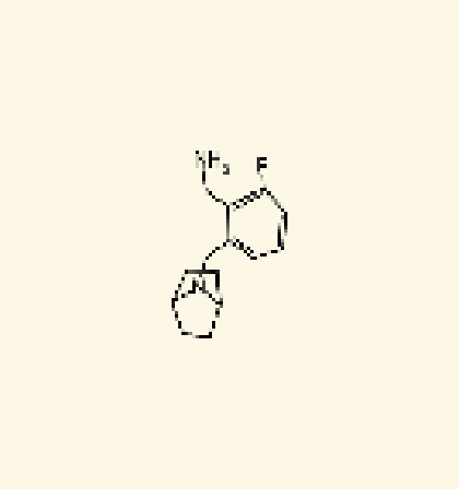 NCc1c(F)cccc1CN1C2CCC1CC2